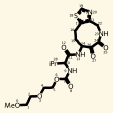 COCCOCCOC(=O)NC(C(=O)NC1CCc2scnc2CNC(=O)C1=O)C(C)C